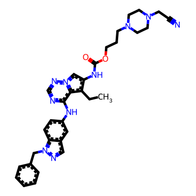 CCc1c(NC(=O)OCCCN2CCN(CC#N)CC2)cn2ncnc(Nc3ccc4c(cnn4Cc4ccccc4)c3)c12